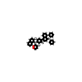 c1ccc(N(c2ccccc2)c2cc3sc4c5c6c(cc4c3c3ccccc23)Oc2ccc3ccccc3c2B6c2c(ccc3ccccc23)O5)cc1